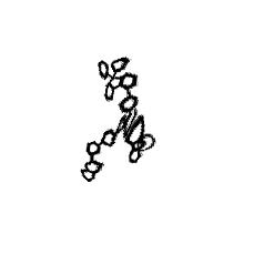 c1ccc(C2(c3ccccc3)c3ccccc3-c3c(-c4ccc(N(c5ccc(-c6cccc(-c7ccc8ccccc8c7)c6)cc5)c5ccc6oc7ccccc7c6c5)cc4)cccc32)cc1